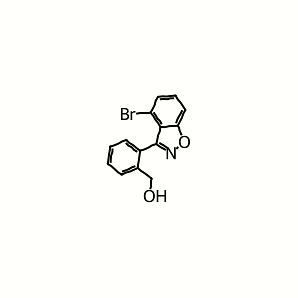 OCc1ccccc1-c1noc2cccc(Br)c12